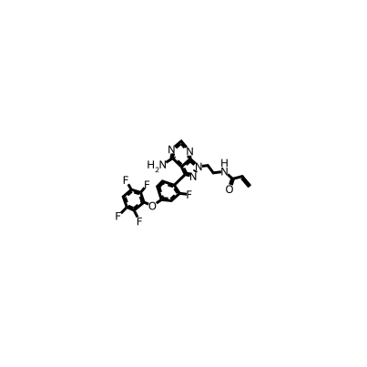 C=CC(=O)NCCn1nc(-c2ccc(Oc3c(F)c(F)cc(F)c3F)cc2F)c2c(N)ncnc21